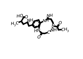 CCC(=O)N1CCC(=N)Nc2ccc(C[C@H](N)CC(C)C(=O)O)cc2NC(=O)CCN1